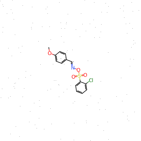 COc1ccc(/[C]=N/OS(=O)(=O)c2ccccc2Cl)cc1